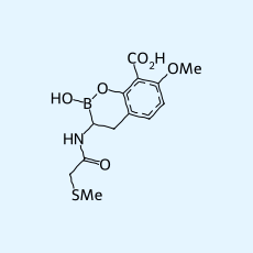 COc1ccc2c(c1C(=O)O)OB(O)C(NC(=O)CSC)C2